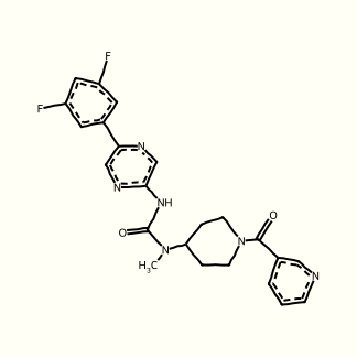 CN(C(=O)Nc1cnc(-c2cc(F)cc(F)c2)cn1)C1CCN(C(=O)c2cccnc2)CC1